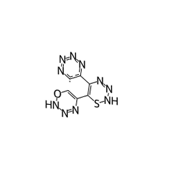 [c]1nnnnc1C1=C(C2=CONN=N2)SNN=N1